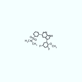 COc1c(F)cc(F)cc1-c1c[nH]c2ncc(-c3cccc(S(=O)(=O)N(C)C)c3)cc12